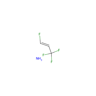 FC=CC(F)(F)F.N